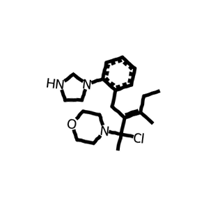 CCC(C)=C(Cc1ccccc1N1CCNC1)C(C)(Cl)N1CCOCC1